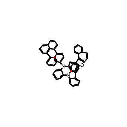 c1ccc(-c2cccc3cccc(-c4ccc(N(c5ccc6oc7ccc8ccccc8c7c6c5)c5ccccc5-n5c6ccccc6c6ccccc65)cc4)c23)cc1